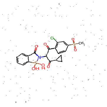 CS(=O)(=O)c1ccc(C(=O)C(C(=O)C2CC2)N2C(=O)c3ccccc3S2(O)O)c(Cl)c1